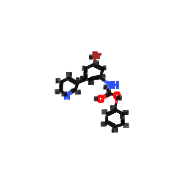 O=C(Nc1cc(Br)cc(-c2cccnc2)c1)Oc1ccccc1